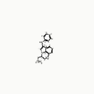 NCC1COc2cccc3c(Sc4ccccc4)cn1c23